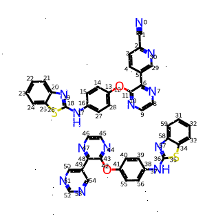 N#Cc1ccc(-c2nccnc2Oc2ccc(Nc3nc4ccccc4s3)cc2)cn1.c1ccc2sc(Nc3ccc(Oc4nccnc4-c4cncnc4)cc3)nc2c1